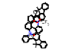 CC1(C)c2ccccc2-c2ccc3c(c21)c1ccccc1n3-c1cccc(C#N)c1-c1c(-c2cc(C(F)(F)F)cc(C(F)(F)F)c2)cccc1-n1c2ccccc2c2c3c(ccc21)-c1ccccc1C3(C)C